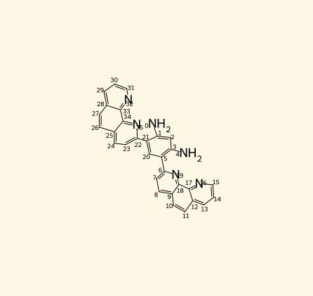 Nc1cc(N)c(-c2ccc3ccc4cccnc4c3n2)cc1-c1ccc2ccc3cccnc3c2n1